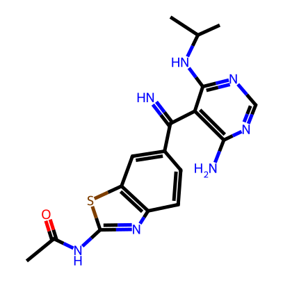 CC(=O)Nc1nc2ccc(C(=N)c3c(N)ncnc3NC(C)C)cc2s1